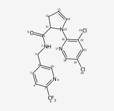 O=C(NCc1ccc(C(F)(F)F)nc1)C1CC=CN1c1ncc(Cl)cc1Cl